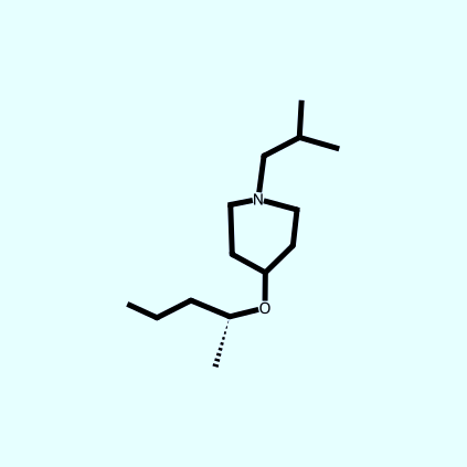 CCC[C@@H](C)OC1CCN(CC(C)C)CC1